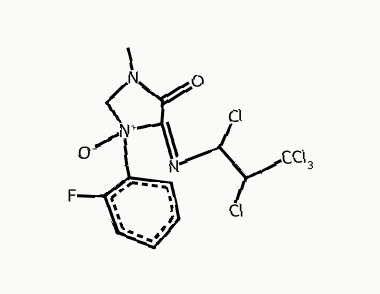 CN1C[N+]([O-])(c2ccccc2F)C(=NC(Cl)C(Cl)C(Cl)(Cl)Cl)C1=O